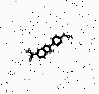 COc1ccc(-c2cc3cc(C(=O)O)ccc3[nH]2)cc1